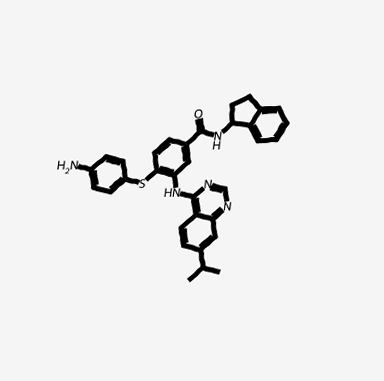 CC(C)c1ccc2c(Nc3cc(C(=O)NC4CCc5ccccc54)ccc3Sc3ccc(N)cc3)ncnc2c1